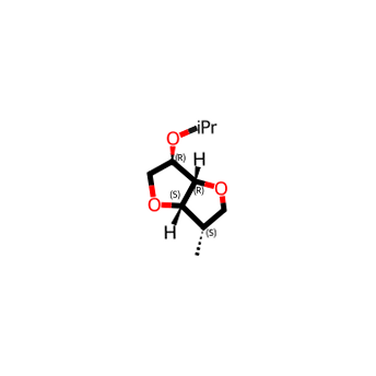 CC(C)O[C@@H]1CO[C@@H]2[C@H]1OC[C@@H]2C